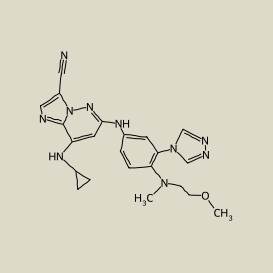 COCCN(C)c1ccc(Nc2cc(NC3CC3)c3ncc(C#N)n3n2)cc1-n1cnnc1